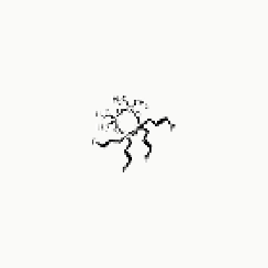 C[Si]1(C)O[Si](C)(C)O[Si](CC=CF)(CC=CF)O[Si](CC=CF)(CC=CF)O1